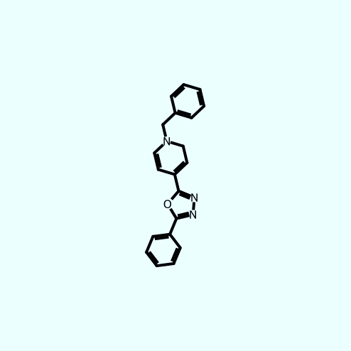 C1=CN(Cc2ccccc2)CC=C1c1nnc(-c2ccccc2)o1